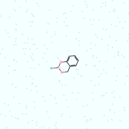 BrP1OCc2ccccc2O1